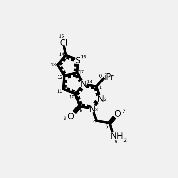 CC(C)c1nn(CC(N)=O)c(=O)c2cc3cc(Cl)sc3n12